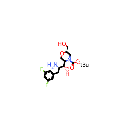 CC(C)(C)OC(=O)N1C[C@H](CO)OCC1[C@@H](O)[C@@H](N)Cc1cc(F)cc(F)c1